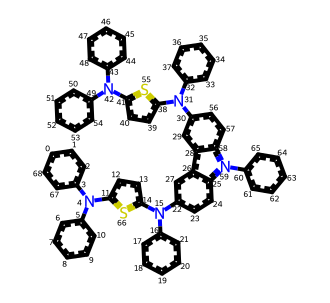 c1ccc(N(c2ccccc2)c2ccc(N(c3ccccc3)c3ccc4c(c3)c3cc(N(c5ccccc5)c5ccc(N(c6ccccc6)c6ccccc6)s5)ccc3n4-c3ccccc3)s2)cc1